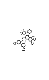 COc1ccc(C2(c3ccc(OC)cc3)C=Cc3c4c(c5c6c(c(OC)cc5c3O2)OCC6)-c2ccccc2C42CC(C)(C)C(C)(C)C2)cc1